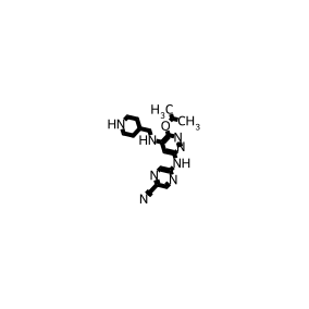 CC(C)Oc1nnc(Nc2cnc(C#N)cn2)cc1NCC1CCNCC1